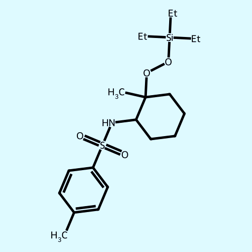 CC[Si](CC)(CC)OOC1(C)CCCCC1NS(=O)(=O)c1ccc(C)cc1